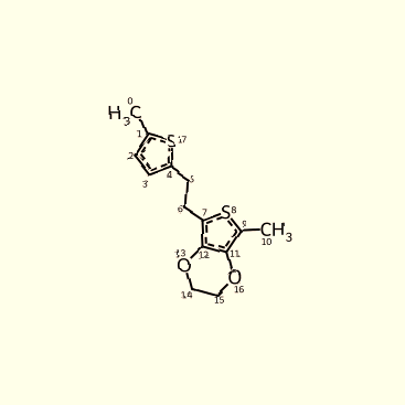 Cc1ccc(CCc2sc(C)c3c2OCCO3)s1